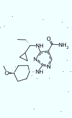 CC[C@H](Nc1nc(N[C@H]2CC[C@H](OC)CC2)ncc1C(N)=O)C1CC1